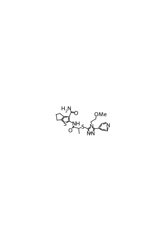 COCCn1c(SC(C)C(=O)Nc2sc3c(c2C(N)=O)CCC3)nnc1-c1ccncc1